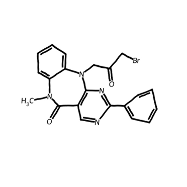 CN1C(=O)c2cnc(-c3ccccc3)nc2N(CC(=O)CBr)c2ccccc21